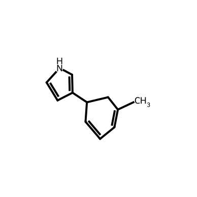 CC1=CC=CC(c2cc[nH]c2)C1